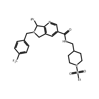 CCS(=O)(=O)N1CCC(CNC(=O)c2cnc3c(c2)CN(Cc2ccc(C(F)(F)F)cc2)C3C(C)C)CC1